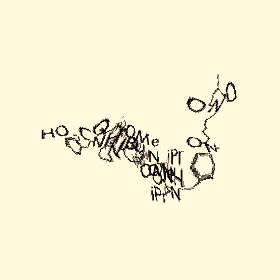 CC[C@H](C)[C@@H]([C@@H](CC(=O)N1CCC[C@H]1[C@H](OC)[C@@H](C)C(=O)NC(Cc1ccccc1)C(=O)O)OC)N(C)C(=O)[C@@H](NC(=O)[C@H](C(C)C)N(C)CCc1ccc(N(C)C(=O)CCCCCN2C(=O)CC(C)C2=O)cc1)C(C)C